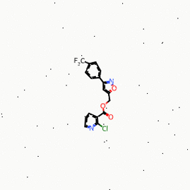 O=C(OCc1cc(-c2ccc(C(F)(F)F)cc2)no1)c1cccnc1Cl